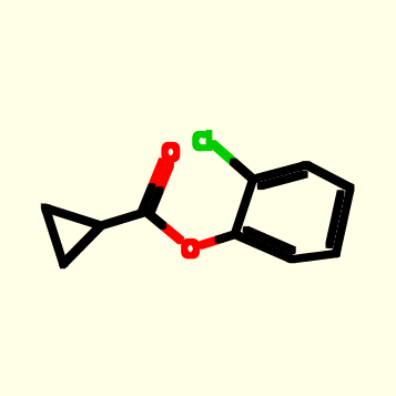 O=C(Oc1ccccc1Cl)C1CC1